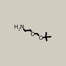 CC(C)(C)OCOCCN